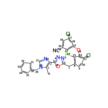 Cc1c(-c2nnc(Cc3ccc(Cl)c(Oc4cc(Cl)cc(C#N)c4)c3F)o2)ncn1Cc1ccccc1